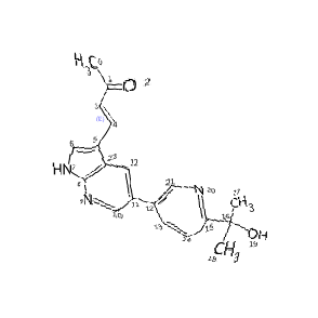 CC(=O)/C=C/c1c[nH]c2ncc(-c3ccc(C(C)(C)O)nc3)cc12